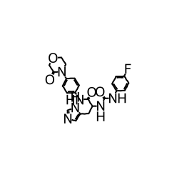 O=C(Nc1ccc(F)cc1)NC(Cc1cnc[nH]1)C(=O)Nc1ccc(N2CCOCC2=O)cc1